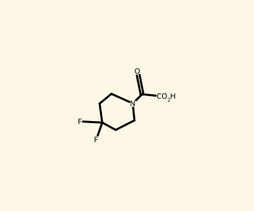 O=C(O)C(=O)N1CCC(F)(F)CC1